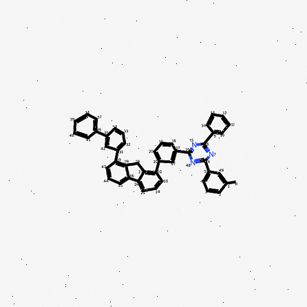 Cc1cccc(-c2nc(-c3ccccc3)nc(-c3cccc(-c4cccc5c4Cc4c(-c6cccc(-c7ccccc7)c6)cccc4-5)c3)n2)c1